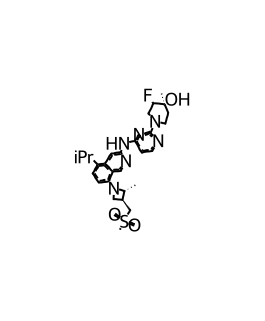 CC(C)c1ccc(N2C[C@H](CS(C)(=O)=O)[C@H]2C)c2cnc(Nc3ccnc(N4CC[C@](C)(O)[C@H](F)C4)n3)cc12